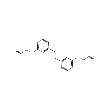 C=CCOc1cccc([CH]Cc2cccc(OCC=C)c2)c1